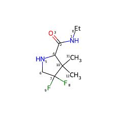 CCNC(=O)C1NCC(F)(F)C1(C)C